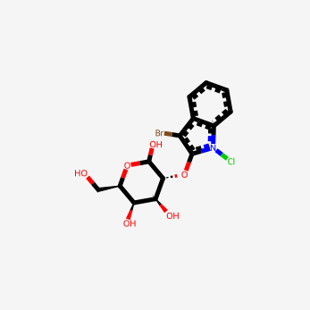 OC[C@H]1OC(O)[C@H](Oc2c(Br)c3ccccc3n2Cl)[C@@H](O)[C@H]1O